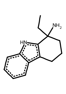 CCC1(N)CCCc2c1[nH]c1ccccc21